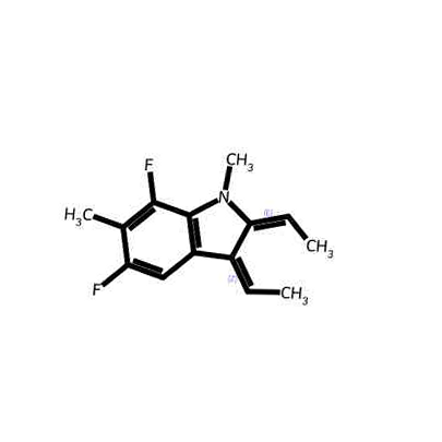 C/C=c1\c(=C/C)n(C)c2c(F)c(C)c(F)cc12